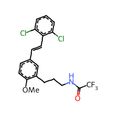 COc1ccc(/C=C/c2c(Cl)cccc2Cl)cc1CCCNC(=O)C(F)(F)F